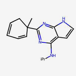 CC(C)Nc1nc(C2(C)C=CC=CC2)nc2[nH]ccc12